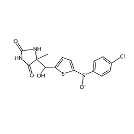 CC1(C(O)c2ccc([S+]([O-])c3ccc(Cl)cc3)s2)NC(=O)NC1=O